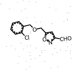 O=Cc1cc(COCc2ccccc2Cl)on1